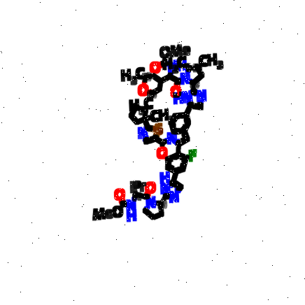 COC(=O)NC(C(=O)N1C(C)[C@H](C)C[C@H]1c1ncc(-c2ccc3c(c2)cc2n3C(c3cnc(C4(C)CCCC4)s3)Oc3cc(-c4cnc([C@@H]5CCCN5C(=O)[C@@H](NC(=O)OC)C(C)C)[nH]4)cc(F)c3-2)[nH]1)C1C[C@@H](C)O[C@@H](C)C1